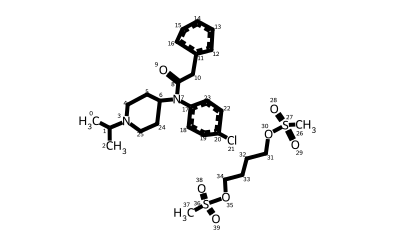 CC(C)N1CCC(N(C(=O)Cc2ccccc2)c2ccc(Cl)cc2)CC1.CS(=O)(=O)OCCCCOS(C)(=O)=O